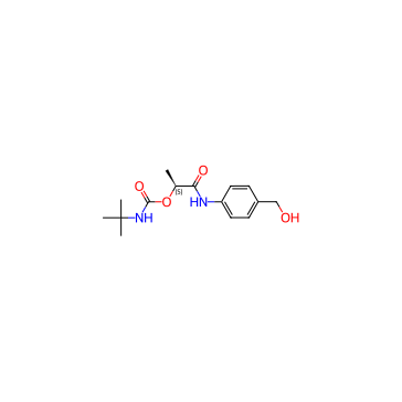 C[C@H](OC(=O)NC(C)(C)C)C(=O)Nc1ccc(CO)cc1